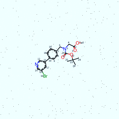 COC(=O)CN(Cc1ccc(-c2cncc(Br)c2)cc1)C(=O)OC(C)(C)C